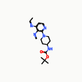 C=Nc1c(/N=C\C)ccnc1N1CCC(NC(=O)OC(C)(C)C)CC1